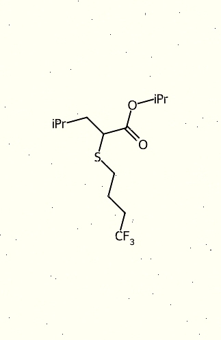 CC(C)CC(SCCCC(F)(F)F)C(=O)OC(C)C